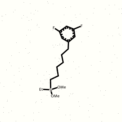 CC[Si](CCCCCCc1cc(F)cc(F)c1)(OC)OC